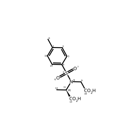 Cc1ccc(S(=O)(=O)N(CC(=O)O)[C@H](C)C(=O)O)cc1